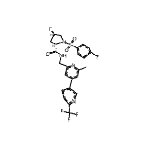 Cc1cc(-c2ccc(C(F)(F)F)nc2)cc(CNC(=O)[C@@H]2C[C@@H](F)CN2S(=O)(=O)c2ccc(F)cc2)n1